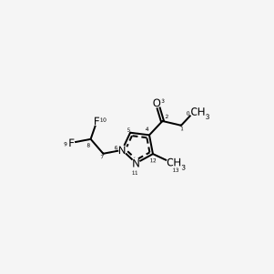 CCC(=O)c1cn(CC(F)F)nc1C